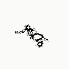 C=C[C@H]1CCC[C@H](NC(=O)c2nccc(OC)c2OC(C)=O)C(=O)O[C@@H](C)[C@@H]1Oc1ccccc1